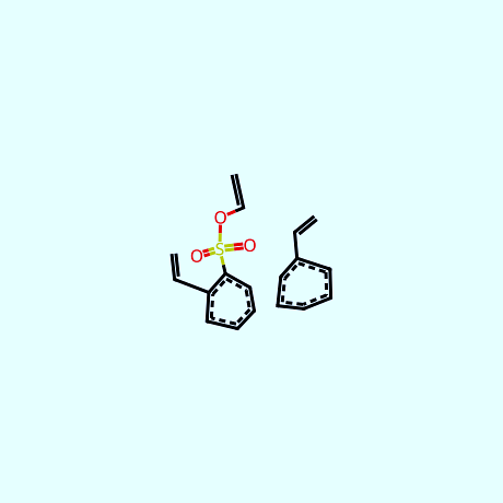 C=COS(=O)(=O)c1ccccc1C=C.C=Cc1ccccc1